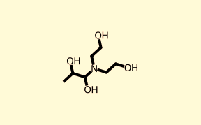 CC(O)C(O)N(CCO)CCO